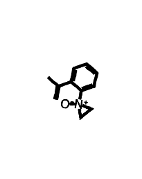 C=C(C)c1ccccc1[N+]1([O-])CC1